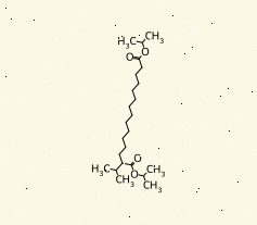 CC(C)OC(=O)CCCCCCCCCCCCC(C(=O)OC(C)C)C(C)C